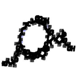 COC1C(=O)[C@H](C)C[C@H](C)/C=C/C=C/C=C(\C)C(OC(C)(C)CCOC(C)(C)CCO)C[C@@H]2CC[C@@H](C)[C@@](O)(O2)C(=O)C(=O)N2CCCC[C@H]2C(=O)O[C@H]([C@H](C)C[C@@H]2CC[C@@H](OCCO)[C@H](OC)C2)CC(=O)[C@H](C)/C=C(\C)[C@H]1O